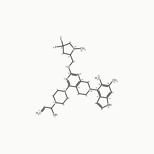 C=CC(O)N1CCN(c2nc(OCC3CC(F)(F)CN3C)nc3c2CCN(c2c(C)c(C)cc4[nH]ccc24)C3)CC1